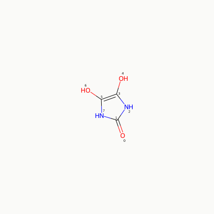 O=c1[nH]c(O)c(O)[nH]1